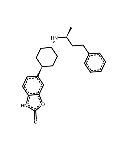 C[C@@H](CCc1ccccc1)N[C@H]1CC[C@H](c2ccc3[nH]c(=O)oc3c2)CC1